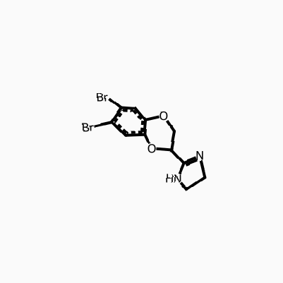 Brc1cc2c(cc1Br)OC(C1=NCCN1)CO2